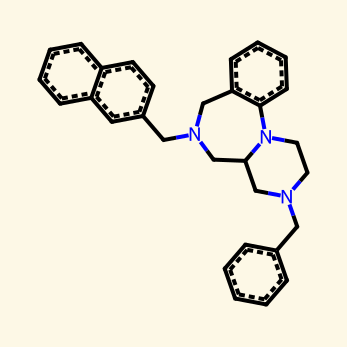 c1ccc(CN2CCN3c4ccccc4CN(Cc4ccc5ccccc5c4)CC3C2)cc1